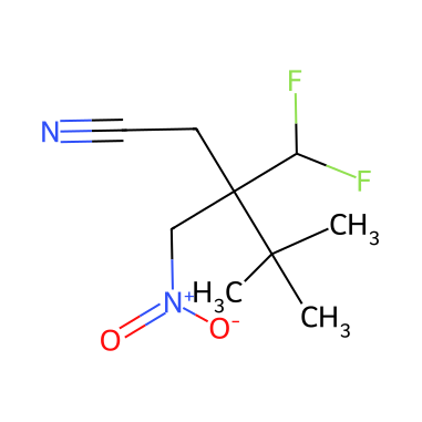 CC(C)(C)C(CC#N)(C[N+](=O)[O-])C(F)F